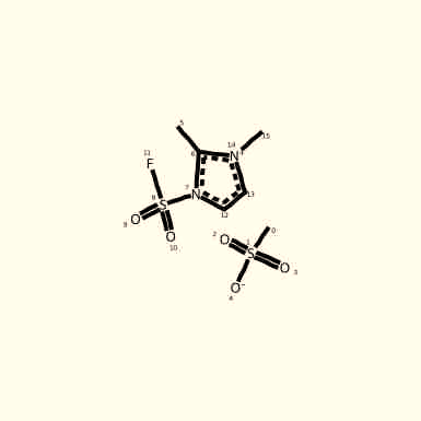 CS(=O)(=O)[O-].Cc1n(S(=O)(=O)F)cc[n+]1C